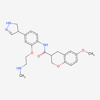 CNCCOc1cc(C2C=NNC2)ccc1NC(=O)C1COc2ccc(OC)cc2C1